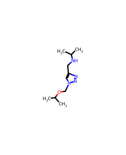 CC(C)NCc1cn(COC(C)C)nn1